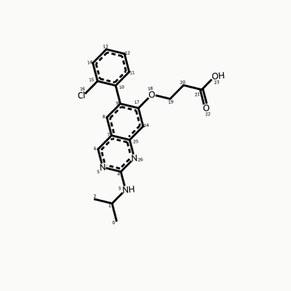 CC(C)Nc1ncc2cc(-c3ccccc3Cl)c(OCCC(=O)O)cc2n1